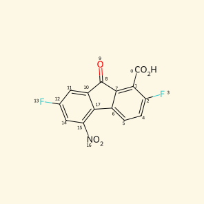 O=C(O)c1c(F)ccc2c1C(=O)c1cc(F)cc([N+](=O)[O-])c1-2